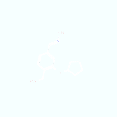 OCc1ccc(/C=N/O)cc1OC1CCCC1